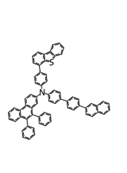 c1ccc(-c2c(-c3ccccc3)c3cc(N(c4ccc(-c5ccc(-c6ccc7ccccc7c6)cc5)cc4)c4ccc(-c5cccc6c5sc5ccccc56)cc4)ccc3c3ccccc23)cc1